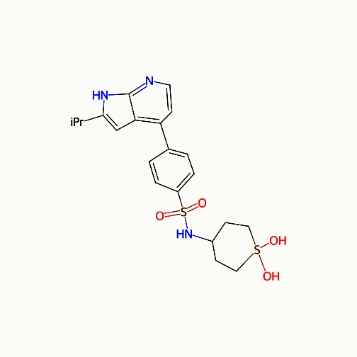 CC(C)c1cc2c(-c3ccc(S(=O)(=O)NC4CCS(O)(O)CC4)cc3)ccnc2[nH]1